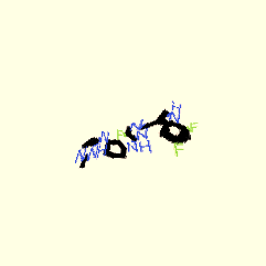 Cc1nccc(N[C@H]2CCC[C@@H](Nc3nc(-c4c[nH]c5c(F)cc(F)cc45)ncc3F)C2)n1